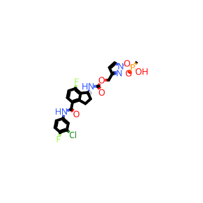 CP(=O)(O)On1ccc(COC(=O)N[C@H]2CCc3c(C(=O)Nc4ccc(F)c(Cl)c4)ccc(F)c32)n1